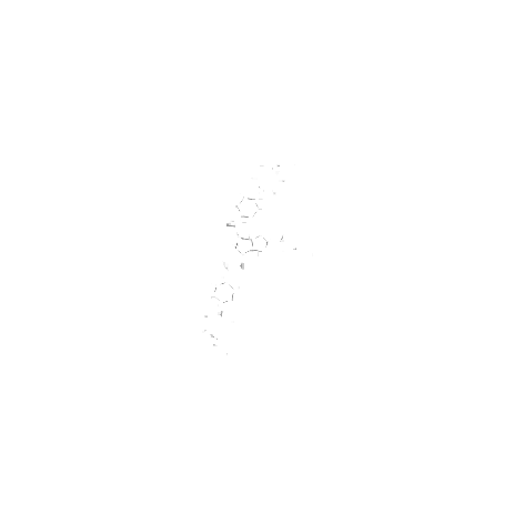 COC(=O)c1cc2c(s1)c(NC(=O)c1ccc(N3CCN(C)CC3)cc1)nn2C(=O)c1ccc(N2CCN(C)CC2)cc1